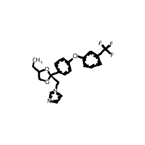 CCC1COC(Cn2ccnc2)(c2ccc(Oc3cccc(C(F)(F)F)c3)cc2)O1